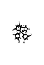 CCC1=C(C(c2cc(C)cc(C)c2)(c2cc(C)cc(C)c2)c2cc(C)cc(C)c2)CC=C1